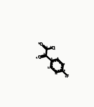 O=C(Cl)C(=O)c1ccc(F)cc1